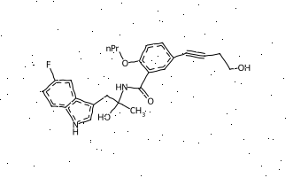 CCCOc1ccc(C#CCCO)cc1C(=O)NC(C)(O)Cc1c[nH]c2ccc(F)cc12